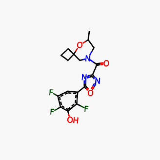 CC1CN(C(=O)c2noc(-c3cc(F)c(F)c(O)c3F)n2)CC2(CCC2)O1